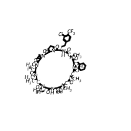 CCC(C)[C@@H]1NC(=O)[C@H](CC(C)C)N(C)C(=O)C[C@@H](C)N(C)C(=O)[C@H](C(C)C)N(C)C(=O)C2(CC2)NC(=O)[C@@H]2CCCN2C(=O)[C@H](CCc2ccc(C(F)(F)F)c(Cl)c2)NC(=O)CN(C)C(=O)[C@H](CC2CCCCC2)N(C)C(=O)CN(C)C(=O)CN(C)C1=O